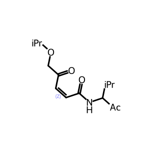 CC(=O)C(NC(=O)/C=C\C(=O)COC(C)C)C(C)C